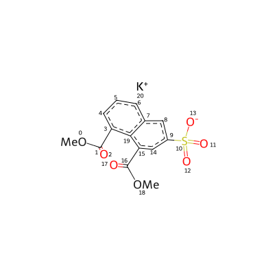 COC(=O)c1cccc2cc(S(=O)(=O)[O-])cc(C(=O)OC)c12.[K+]